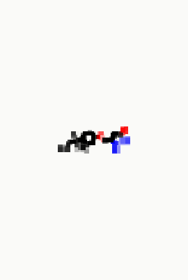 CC(C)(C)CC(C)(C)c1ccc(OCc2cc(=O)[nH][nH]2)cc1